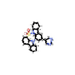 O=S1(=O)c2cccc3c4ccccc4n(c23)-c2cc(-c3cncnc3)cc3c4ccccc4n1c23